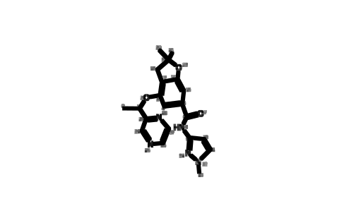 CC(Oc1cc(C(=O)Nc2ccn(C)n2)cc2c1CC(C)(C)O2)c1cnccn1